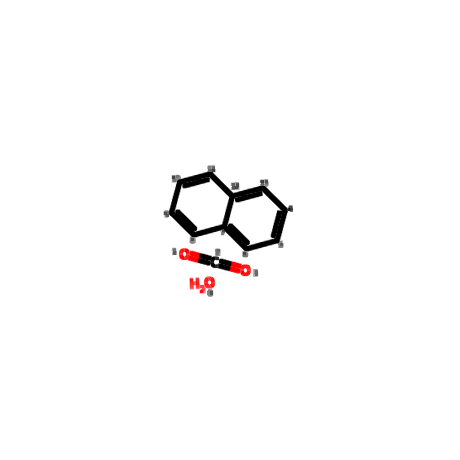 O.O=C=O.c1ccc2ccccc2c1